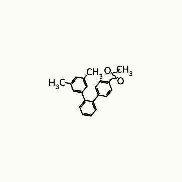 Cc1cc(C)cc(-c2ccccc2-c2ccc(S(C)(=O)=O)cc2)c1